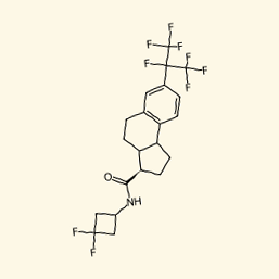 O=C(NC1CC(F)(F)C1)[C@@H]1CCC2c3ccc(C(F)(C(F)(F)F)C(F)(F)F)cc3CCC21